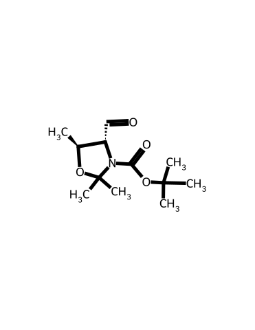 C[C@@H]1OC(C)(C)N(C(=O)OC(C)(C)C)[C@H]1C=O